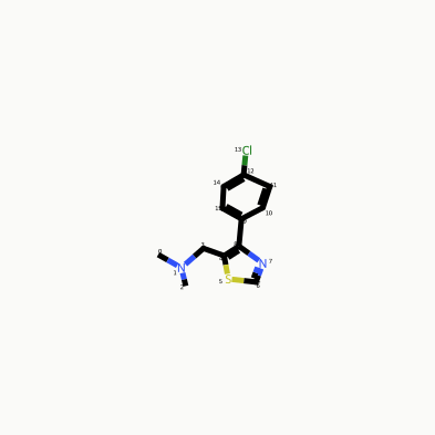 CN(C)Cc1s[c]nc1-c1ccc(Cl)cc1